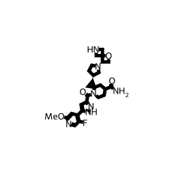 COc1cc(-c2cc(C(=O)N3CCC(C(N)=O)CC34CC4[C@@H]3CCN([C@H]4COC45CNC5)C3)n[nH]2)c(F)cn1